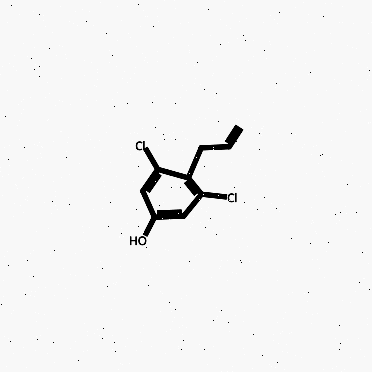 C=CCc1c(Cl)cc(O)cc1Cl